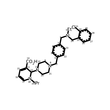 CCN(Cc1ccc(CN2CCN(C3C(C(=O)O)=CC=CN3C(C)C)CC2)cc1)Cc1ccccc1Cl